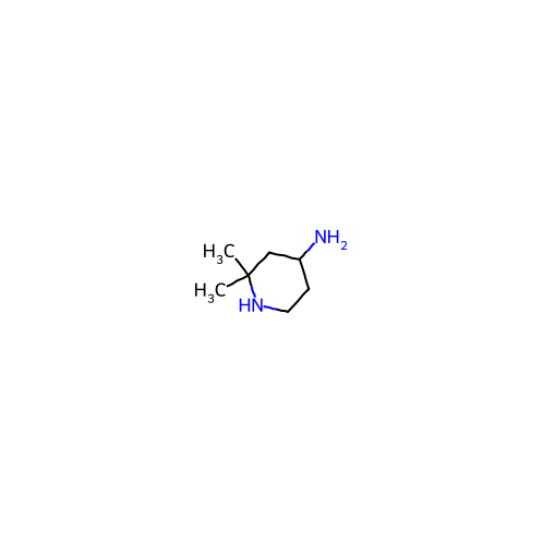 CC1(C)CC(N)CCN1